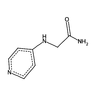 NC(=O)CNc1ccncc1